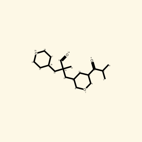 CC(C)C(=O)C1COCC(CC(C)(C=O)CC2CCOCC2)C1